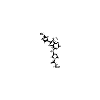 Cn1c(-c2cnc(C(C)(C)C)s2)nc2c(NC3CCN(C(=O)OC(C)(C)C)C3)ncnc21